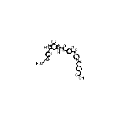 NCCNc1ccc(-c2[nH]nc(C(F)(F)F)c2Cc2cnc(C(=O)Nc3ccc(C(=O)N4CCN(C(=O)CC5CCN(CC(=O)O)CC5)CC4)c(Cl)c3)[nH]2)nc1